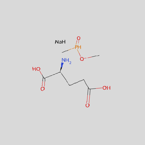 CO[PH](C)=O.N[C@@H](CCC(=O)O)C(=O)O.[NaH]